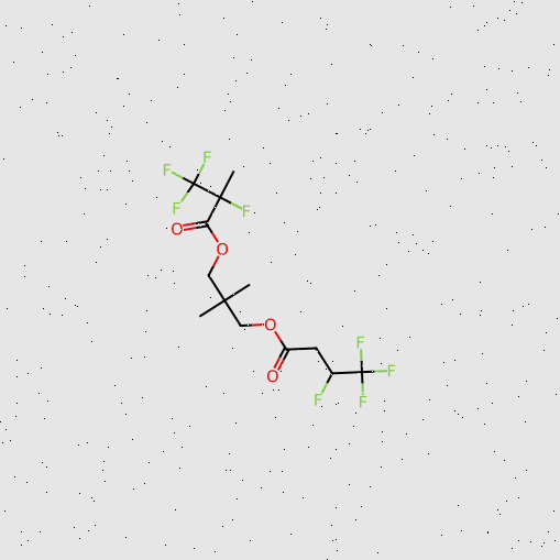 CC(C)(COC(=O)CC(F)C(F)(F)F)COC(=O)C(C)(F)C(F)(F)F